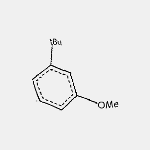 COc1c[c]cc(C(C)(C)C)c1